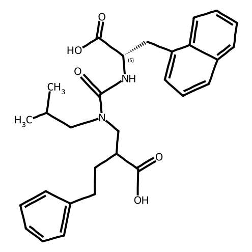 CC(C)CN(CC(CCc1ccccc1)C(=O)O)C(=O)N[C@@H](Cc1cccc2ccccc12)C(=O)O